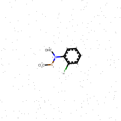 O=CN(SC(Cl)(Cl)Cl)c1ccccc1F